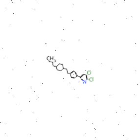 CCCCC1CCC(CCc2ccc(-c3cnc(Cl)c(Cl)c3)cc2)CC1